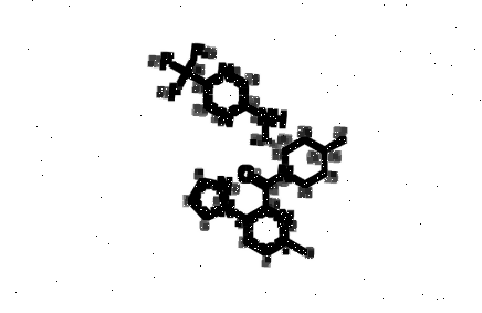 Cc1ccc(-n2cccn2)c(C(=O)N2CC[C@H](C)C[C@H]2CNc2cnc(C(F)(F)F)cn2)n1